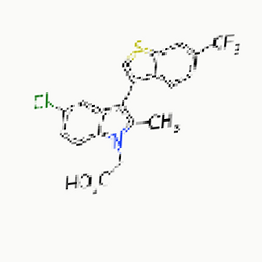 Cc1c(-c2csc3cc(C(F)(F)F)ccc23)c2cc(Cl)ccc2n1CC(=O)O